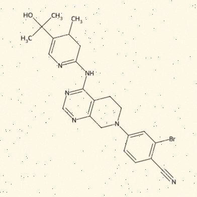 CC1CC(Nc2ncnc3c2CCN(c2ccc(C#N)c(Br)c2)C3)=NC=C1C(C)(C)O